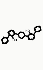 Oc1c(-c2ccccc2)cccc1C1CCC(c2cccc(-c3ccccc3)c2O)CC1